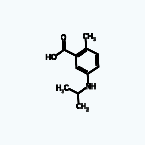 Cc1ccc(NC(C)C)cc1C(=O)O